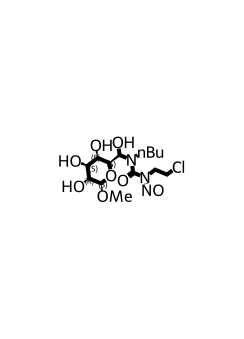 CCCCN(C(=O)N(CCCl)N=O)C(O)[C@H]1O[C@H](OC)[C@H](O)[C@@H](O)[C@@H]1O